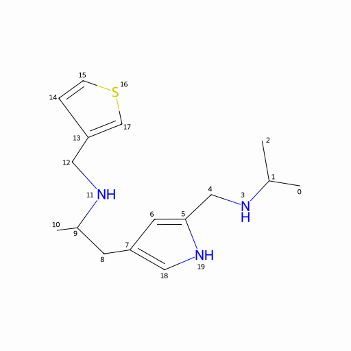 CC(C)NCc1cc(CC(C)NCc2ccsc2)c[nH]1